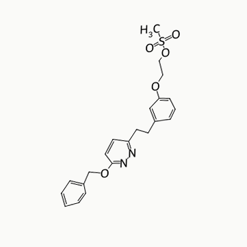 CS(=O)(=O)OCCOc1cccc(CCc2ccc(OCc3ccccc3)nn2)c1